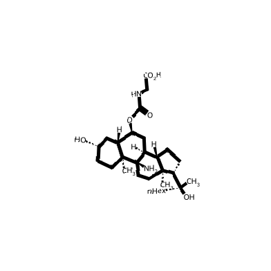 CCCCCC[C@](C)(O)[C@H]1CC[C@H]2[C@@H]3C[C@H](OC(=O)NCC(=O)O)[C@H]4C[C@@H](O)CC[C@]4(C)[C@@]3(N)CC[C@@]21C